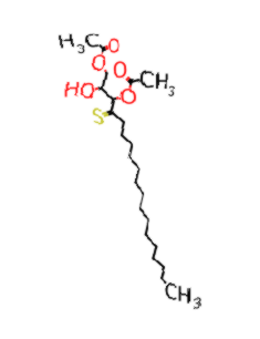 CCCCCCCCCCCCCCCC(=S)C(OC(C)=O)C(O)COC(C)=O